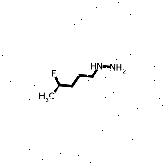 C[C@@H](F)CCCNN